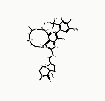 Cc1c(F)c(N)cc(-c2nc3c4c(nc(OCC5CC[C@H]6C(=O)N(C)CCN56)nc4c2F)NCCNCC(C)C[C@H](C)O3)c1C(F)(F)F